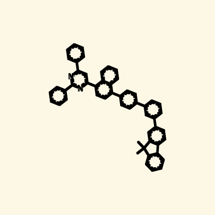 CC1(C)c2ccccc2-c2ccc(-c3cccc(-c4ccc(-c5ccc(-c6cc(-c7ccccc7)nc(-c7ccccc7)n6)c6ccccc56)cc4)c3)cc21